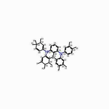 CC1=CC2=C(B3c4cc(C)c(C)cc4N(c4ccc(C)c(C)c4)c4cccc(c43)N2C2=CC(C)C(C)(C)C=C2)C(C)C1C